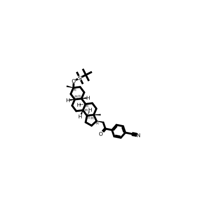 CC(C)(C)[Si](C)(C)O[C@]1(C)CC[C@H]2[C@H](CC[C@@H]3[C@@H]2CC[C@]2(C)[C@@H](CC(=O)c4ccc(C#N)cc4)CC[C@@H]32)C1